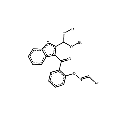 CCOC(OCC)c1oc2ccccc2c1C(=O)c1ccccc1ON=CC(C)=O